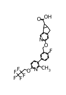 Cc1nc(OCC(F)(F)C(F)(F)F)ccc1-c1ccc(F)c(COc2cc3c(cn2)C2C(C3)C2C(=O)O)c1